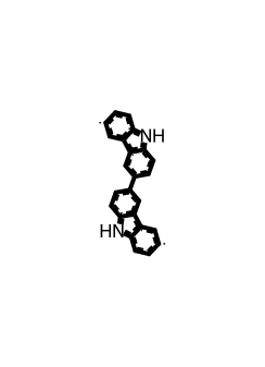 [c]1ccc2[nH]c3ccc(-c4ccc5[nH]c6cc[c]cc6c5c4)cc3c2c1